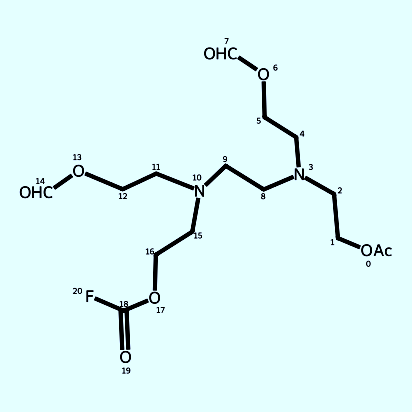 CC(=O)OCCN(CCOC=O)CCN(CCOC=O)CCOC(=O)F